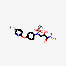 CS(=O)(=O)N(CC(O)C(=O)NO)c1ccc(Oc2ccc(C(F)(F)F)cn2)cc1